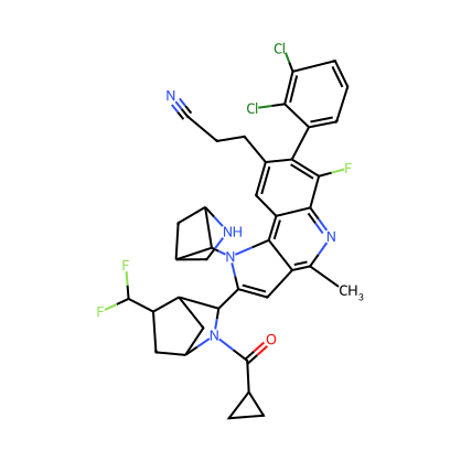 Cc1nc2c(F)c(-c3cccc(Cl)c3Cl)c(CCC#N)cc2c2c1cc(C1C3CC(CC3C(F)F)N1C(=O)C1CC1)n2C1C2CNC1C2